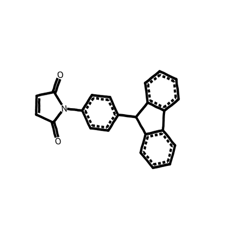 O=C1C=CC(=O)N1c1ccc(C2c3ccccc3-c3ccccc32)cc1